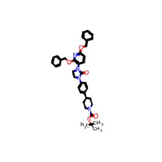 CC(C)(C)OC(=O)N1CCC(c2ccc(N3CCN(c4ccc(OCc5ccccc5)nc4OCc4ccccc4)C3=O)cc2)CC1